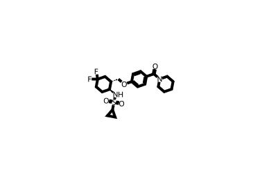 O=C(c1ccc(OC[C@H]2CC(F)(F)CC[C@@H]2NS(=O)(=O)C2CC2)cc1)N1CCCCC1